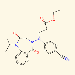 CCOC(=O)CCN(c1ccc(C#N)cc1)N1CC(=O)N(C(C)C)c2ccccc2C1=O